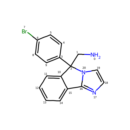 NCC1(c2ccc(Br)cc2)c2ccccc2-c2nccn21